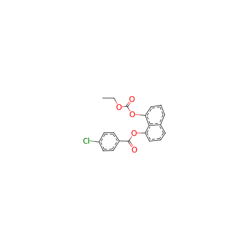 CCOC(=O)Oc1cccc2cccc(OC(=O)c3ccc(Cl)cc3)c12